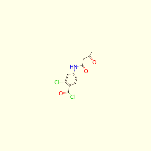 CC(=O)CC(=O)Nc1ccc(C(=O)Cl)c(Cl)c1